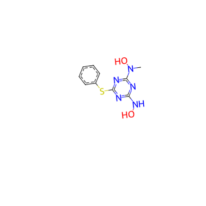 CN(O)c1nc(NO)nc(Sc2ccccc2)n1